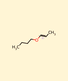 C/C=[C]/OCCCC